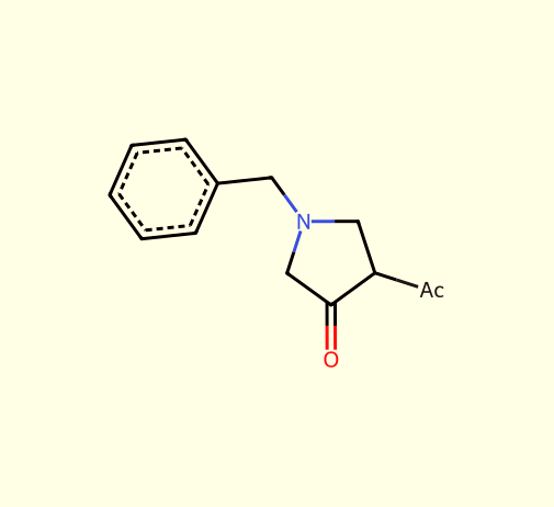 CC(=O)C1CN(Cc2ccccc2)CC1=O